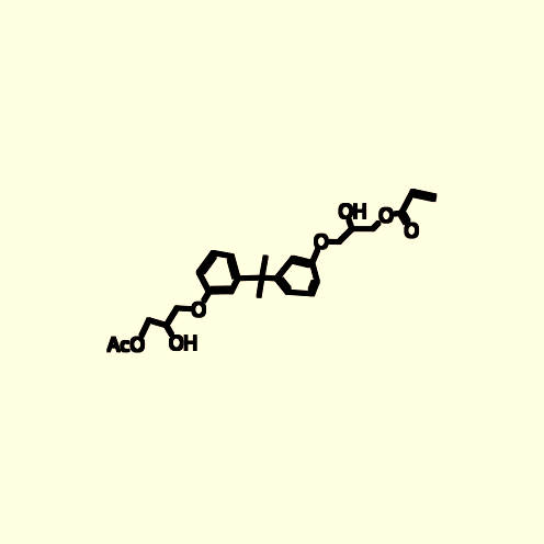 C=CC(=O)OCC(O)COc1cccc(C(C)(C)c2cccc(OCC(O)COC(C)=O)c2)c1